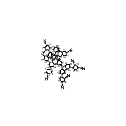 N#Cc1ccc(-c2ccc(-n3c4ccc(-c5ccc(C#N)cc5C#N)cc4c4cc(-c5ccc(C#N)cc5C#N)ccc43)c(-c3cc(-n4c5ccc(-c6ccc(C#N)cc6C#N)cc5c5cc(-c6ccc(C#N)cc6C#N)ccc54)ccc3-c3nc(-c4ccccc4)nc(-c4ccccc4)n3)c2)cc1